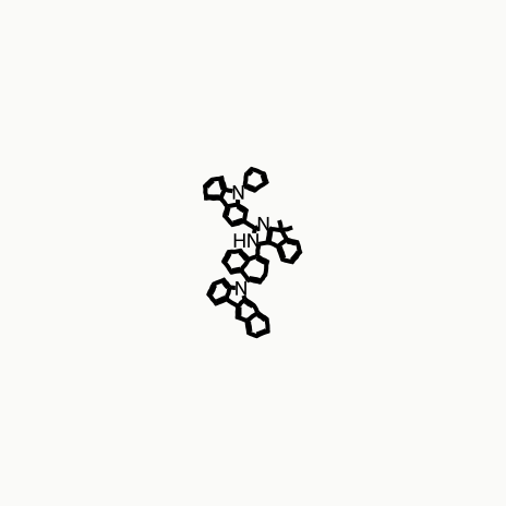 CC1(C)C2=C(c3ccccc31)C(C1=CCC=C(n3c4ccccc4c4cc5ccccc5cc43)c3ccccc31)NC(c1ccc3c4ccccc4n(-c4ccccc4)c3c1)=N2